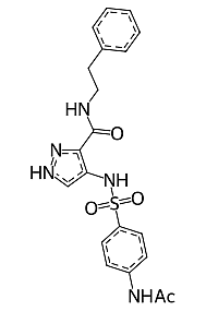 CC(=O)Nc1ccc(S(=O)(=O)Nc2c[nH]nc2C(=O)NCCc2ccccc2)cc1